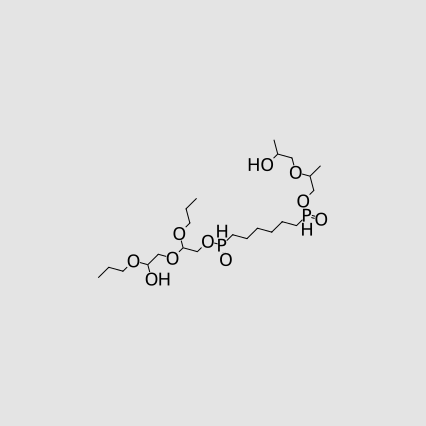 CCCOC(O)COC(CO[PH](=O)CCCCCC[PH](=O)OCC(C)OCC(C)O)OCCC